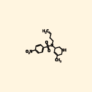 C=CCCN(C1C=C(C)CNC1)S(=O)(=O)c1ccc([N+](=O)[O-])cc1